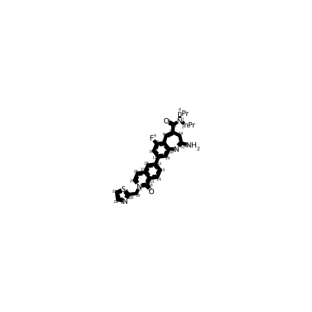 CCCN(CCC)C(=O)C1=Cc2c(F)cc(-c3ccc4c(=O)n(Cc5nccs5)ccc4c3)cc2N=C(N)C1